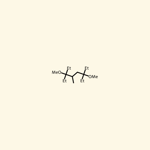 CCC(CC)(CC(C)C(CC)(CC)OC)OC